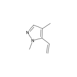 C=Cc1c(C)cnn1C